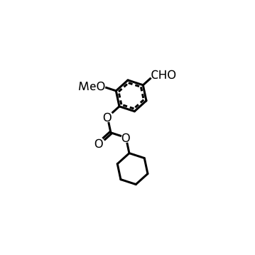 COc1cc(C=O)ccc1OC(=O)OC1CCCCC1